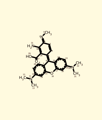 CN=C1C=CC(=C2c3ccc(N(C)C)cc3Oc3cc(N(C)C)ccc32)C(C(=O)O)=C1N